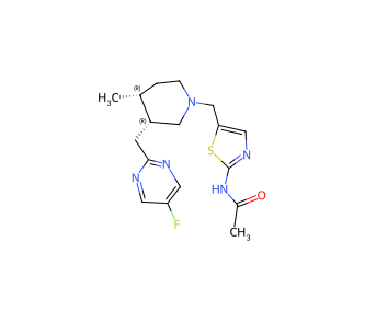 CC(=O)Nc1ncc(CN2CC[C@@H](C)[C@@H](Cc3ncc(F)cn3)C2)s1